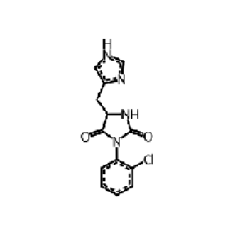 O=C1NC(Cc2c[nH]cn2)C(=O)N1c1ccccc1Cl